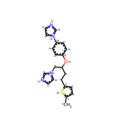 Cc1ccc(CCC(Cn2ccnc2)Oc2ccc(-n3ccnc3)cc2)s1